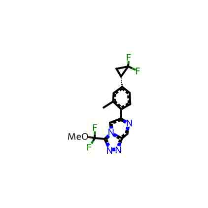 COC(F)(F)c1nnc2cnc(-c3ccc([C@@H]4CC4(F)F)cc3C)cn12